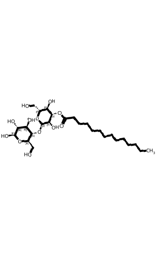 CCCCCCCCCCCCCC(=O)O[C@@H]1[C@@H](O)[C@@H](O[C@H]2[C@H](O)[C@@H](O)[C@H](O)O[C@@H]2CO)O[C@H](CO)[C@H]1O